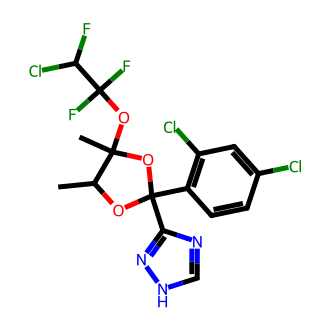 CC1OC(c2nc[nH]n2)(c2ccc(Cl)cc2Cl)OC1(C)OC(F)(F)C(F)Cl